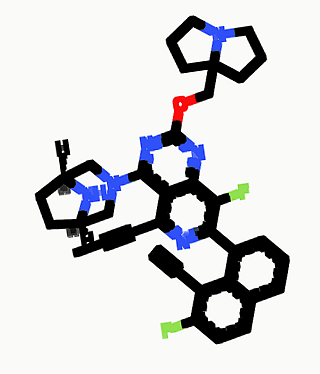 C#Cc1c(F)ccc2cccc(-c3nc(C#CC)c4c(N5C[C@H]6CC[C@@H](C5)N6)nc(OCC56CCCN5CCC6)nc4c3F)c12